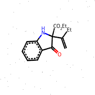 C=C(CC)C1(C(=O)OCC)Nc2ccccc2C1=O